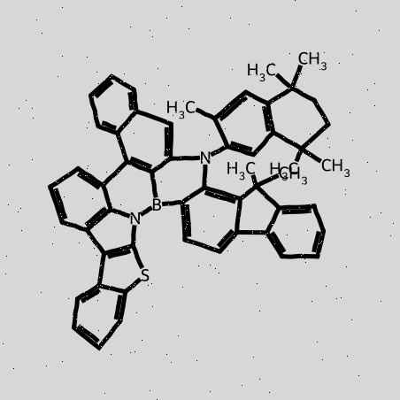 Cc1cc2c(cc1N1c3cc4ccccc4c4c3B(c3ccc5c(c31)C(C)(C)c1ccccc1-5)n1c3sc5ccccc5c3c3cccc-4c31)C(C)(C)CCC2(C)C